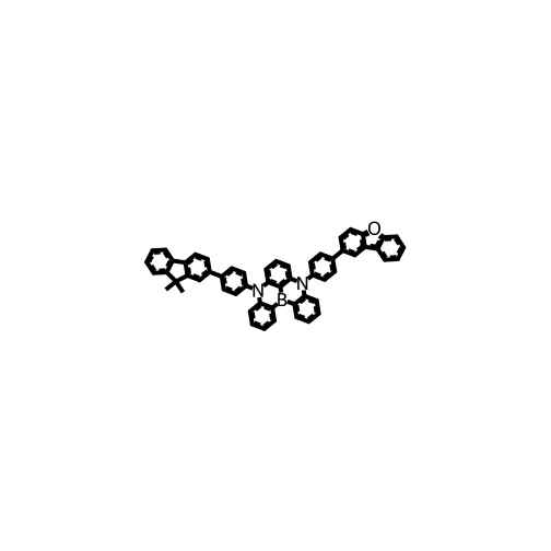 CC1(C)c2ccccc2-c2ccc(-c3ccc(N4c5ccccc5B5c6ccccc6N(c6ccc(-c7ccc8oc9ccccc9c8c7)cc6)c6cccc4c65)cc3)cc21